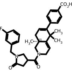 CC1(C)C(c2ccc(C(=O)O)cc2)=CC[C@]2(C)CN(C(=O)C3CC(=O)N(Cc4cccc(F)c4)C3)CC=C12